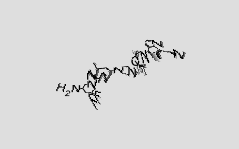 Cc1cc(N2CCN(C[C@H]3CN(c4ccc(C#N)c5ncccc45)C[C@@H](C)O3)CC2)nc(N2CC(N)CC(F)(F)C2)n1